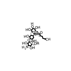 C#CCCCC(=O)NC[C@H]1O[C@H](C[C@H]2[C@H](O)[C@@H](O[C@H]3O[C@H](CO)[C@@H](O)[C@H](N)[C@H]3O)[C@H](N)C[C@@H]2N)[C@H](O)[C@@H](O)[C@@H]1O